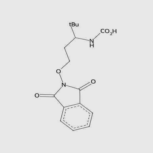 CC(C)(C)C(CCON1C(=O)c2ccccc2C1=O)NC(=O)O